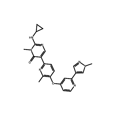 Cc1nc(-c2cnc(NC3CC3)n(C)c2=O)ccc1Oc1ccnc(-c2cnn(C)c2)c1